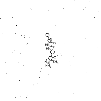 CC(C)n1nc(-c2cccs2)cc1NC(=O)Nc1cc(-c2cc3cnc(N)nc3n(C)c2=O)ccc1F